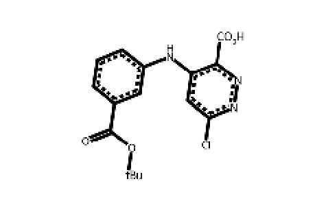 CC(C)(C)OC(=O)c1cccc(Nc2cc(Cl)nnc2C(=O)O)c1